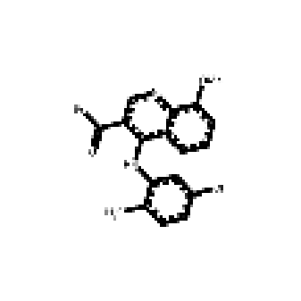 COc1cccc2c(Nc3cc(O)ccc3C)c(C(=O)C(C)C)cnc12